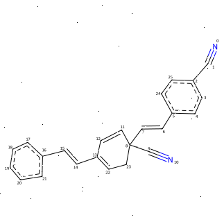 N#Cc1ccc(C=CC2(C#N)C=CC(C=Cc3ccccc3)=CC2)cc1